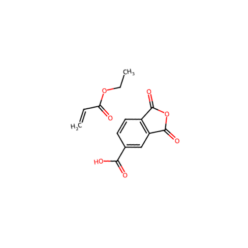 C=CC(=O)OCC.O=C(O)c1ccc2c(c1)C(=O)OC2=O